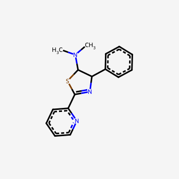 CN(C)C1SC(c2ccccn2)=NC1c1ccccc1